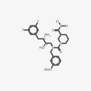 CCN(CC)C(=O)C1CCCN(C(=O)N(Cc2cccc(OC)c2)C[C@@H](O)[C@@H](N)Cc2cc(F)cc(F)c2)C1